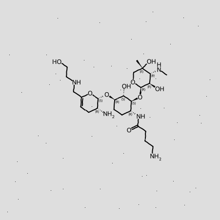 CN[C@@H]1[C@@H](O)[C@@H](O[C@@H]2[C@@H](O)[C@H](O[C@H]3OC(CNCCO)=CC[C@H]3N)CC[C@H]2NC(=O)CCCN)OC[C@]1(C)O